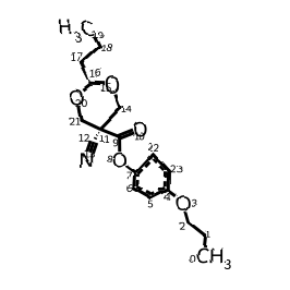 CCCOc1ccc(OC(=O)[C@]2(C#N)CO[C@H](CCC)OC2)cc1